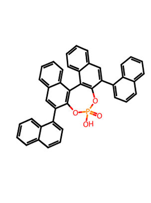 O=P1(O)Oc2c(-c3cccc4ccccc34)cc3ccccc3c2-c2c(c(-c3cccc4ccccc34)cc3ccccc23)O1